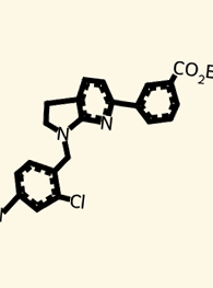 CCOC(=O)c1cccc(-c2ccc3c(n2)N(Cc2ccc(Cl)cc2Cl)CC3)c1